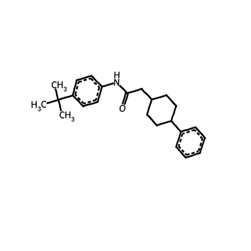 CC(C)(C)c1ccc(NC(=O)CC2CCC(c3ccccc3)CC2)cc1